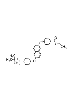 CCOC(=O)C1CCN(Cc2ccc3cc(O[C@H]4CC[C@@H](COC(C)(C)C)CC4)ccc3c2)CC1